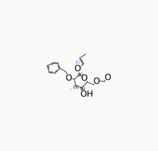 C/C=C/O[C@@H]1OC(COC=O)[C@@H](O)[C@H](C)C1OCc1ccccc1